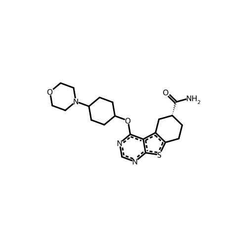 NC(=O)[C@@H]1CCc2sc3ncnc(OC4CCC(N5CCOCC5)CC4)c3c2C1